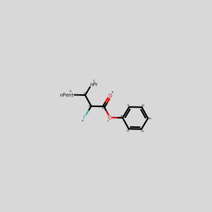 CCCCCC(CCC)C(F)C(=O)Oc1ccccc1